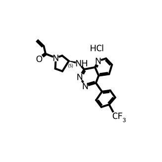 C=CC(=O)N1CC[C@H](Nc2nnc(-c3ccc(C(F)(F)F)cc3)c3cccnc23)C1.Cl